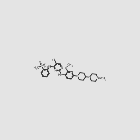 COc1nc(N2CCC(N3CCN(C)CC3)CC2)ccc1Nc1ncc(Cl)c(Nc2ccccc2P(C)(C)=O)n1